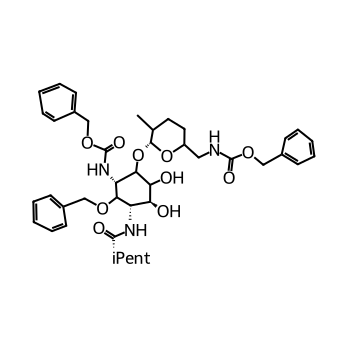 CCC[C@@H](C)C(=O)N[C@@H]1C(OCc2ccccc2)[C@H](NC(=O)OCc2ccccc2)C(O[C@H]2OC(CNC(=O)OCc3ccccc3)CCC2C)C(O)[C@H]1O